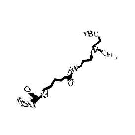 CN(CCCNC(=O)CCCCCNC(=O)C(C)(C)C)CCC(C)(C)C